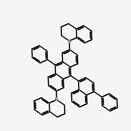 c1ccc(-c2ccc(-c3c4ccc(N5CCCc6ccccc65)cc4c(-c4ccccc4)c4ccc(N5CCCc6ccccc65)cc34)c3ccccc23)cc1